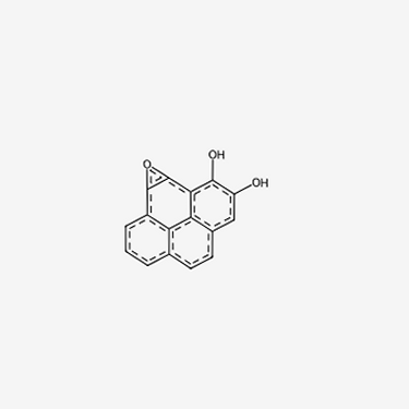 Oc1cc2ccc3cccc4c5oc5c(c1O)c2c34